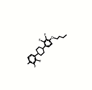 CCCCOc1ccc(C2CCC(c3ccc(C)c(F)c3F)CC2)c(F)c1F